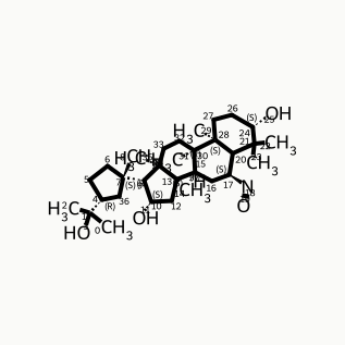 CC(C)(O)[C@@H]1CC[C@](C)([C@H]2[C@@H](O)C[C@@]3(C)[C@@H]4C[C@H](N=O)C5C(C)(C)[C@@H](O)CC[C@]5(C)[C@]4(C)CC[C@]23C)C1